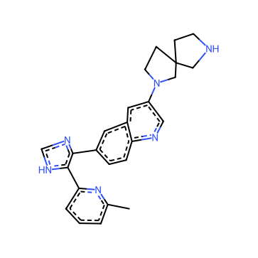 Cc1cccc(-c2[nH]cnc2-c2ccc3ncc(N4CCC5(CCNC5)C4)cc3c2)n1